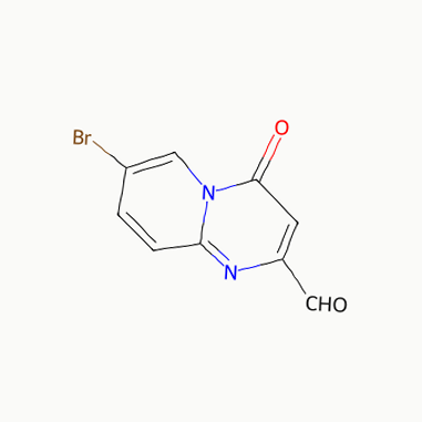 O=Cc1cc(=O)n2cc(Br)ccc2n1